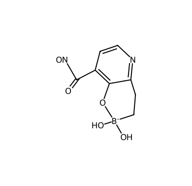 O=NC(=O)c1ccnc2c1O[B-](O)(O)CC2